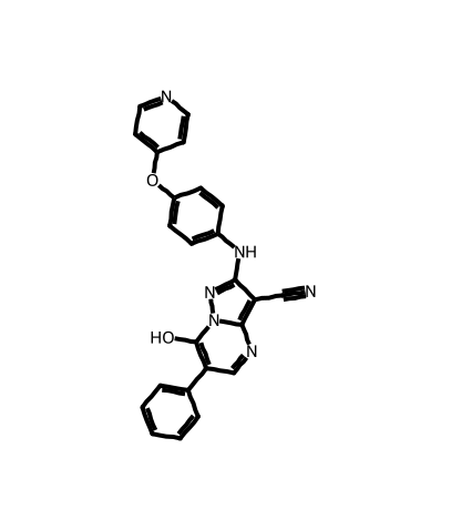 N#Cc1c(Nc2ccc(Oc3ccncc3)cc2)nn2c(O)c(-c3ccccc3)cnc12